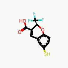 O=C(O)C1=Cc2cc(S)ccc2O[C@@H]1C(F)(F)F